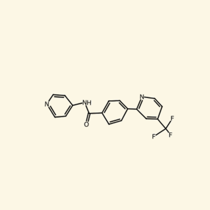 O=C(Nc1ccncc1)c1ccc(-c2cc(C(F)(F)F)ccn2)cc1